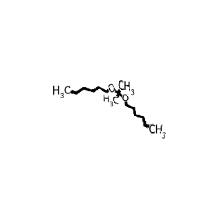 CCCCCCOC(C)(C)OCCCCCC